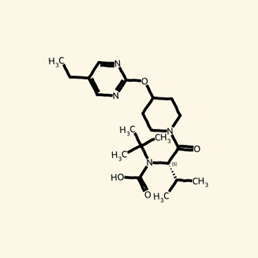 CCc1cnc(OC2CCN(C(=O)[C@H](C(C)C)N(C(=O)O)C(C)(C)C)CC2)nc1